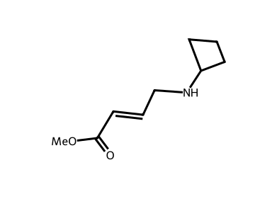 COC(=O)C=CCNC1CCC1